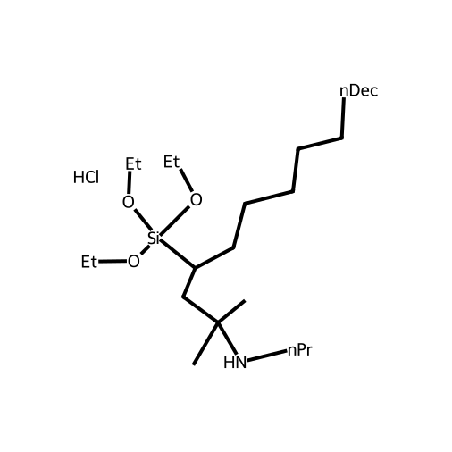 CCCCCCCCCCCCCCCC(CC(C)(C)NCCC)[Si](OCC)(OCC)OCC.Cl